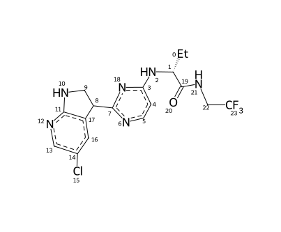 CC[C@@H](Nc1ccnc(C2CNc3ncc(Cl)cc32)n1)C(=O)NCC(F)(F)F